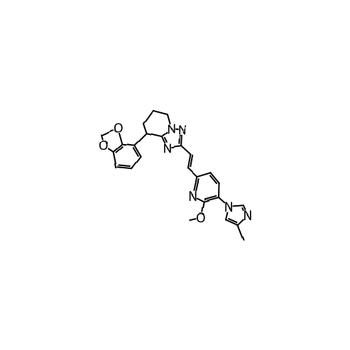 COc1nc(C=Cc2nc3n(n2)CCCC3c2cccc3c2OCO3)ccc1-n1cnc(C)c1